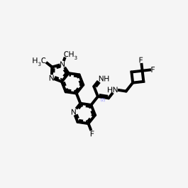 Cc1nc2cc(-c3ncc(F)cc3/C(C=N)=C/NCC3CC(F)(F)C3)ccc2n1C